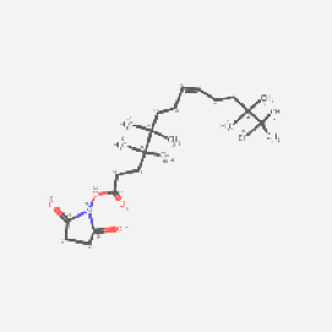 CCC(C)(C)C(C)(C)CC/C=C\CCC(C)(C)C(C)(C)CCC(=O)ON1C(=O)CCC1=O